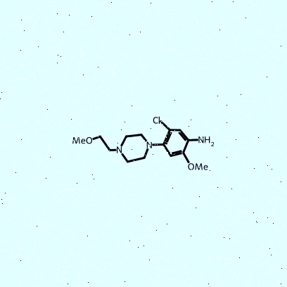 COCCN1CCN(c2cc(OC)c(N)cc2Cl)CC1